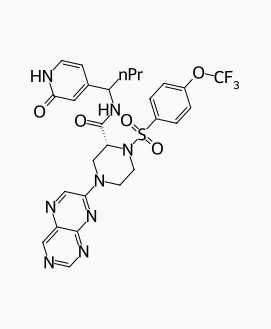 CCCC(NC(=O)[C@H]1CN(c2cnc3cncnc3n2)CCN1S(=O)(=O)c1ccc(OC(F)(F)F)cc1)c1cc[nH]c(=O)c1